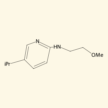 COCCNc1ccc(C(C)C)cn1